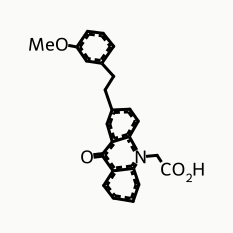 COc1cccc(CCc2ccc3c(c2)c(=O)c2ccccc2n3CC(=O)O)c1